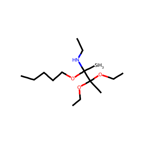 CCCCCOC([SiH3])(NCC)C(C)(OCC)OCC